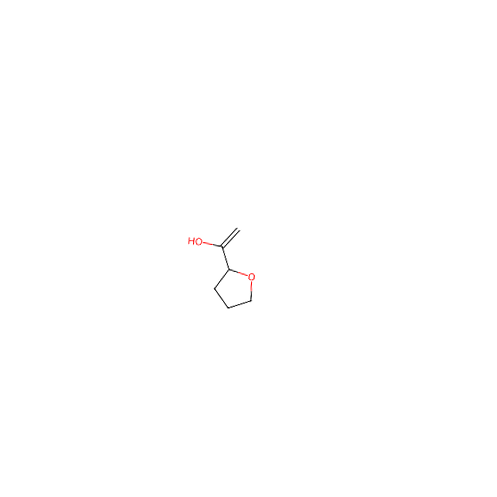 C=C(O)C1CCCO1